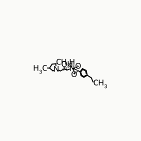 CCCc1ccc(S(=O)(=O)NC[C@@H](O)CN2CC(C)CC2C)cc1